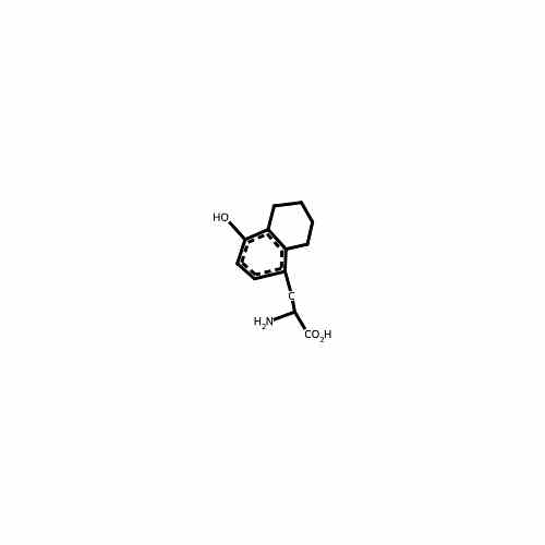 NC(Cc1ccc(O)c2c1CCCC2)C(=O)O